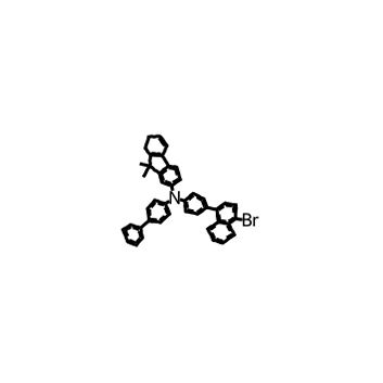 CC1(C)C2=C(C=CCC2)c2ccc(N(c3ccc(-c4ccccc4)cc3)c3ccc(-c4ccc(Br)c5ccccc45)cc3)cc21